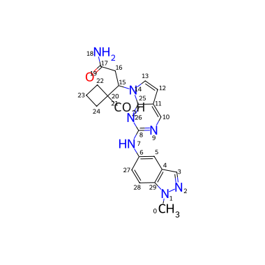 Cn1ncc2cc(Nc3ncc4ccn(C(CC(N)=O)C5(C(=O)O)CCC5)c4n3)ccc21